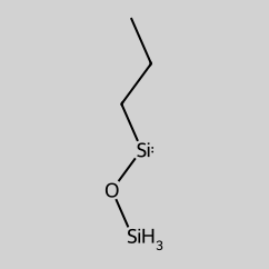 CCC[Si]O[SiH3]